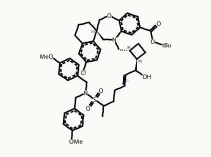 COc1ccc(CN(Cc2ccc(OC)cc2)S(=O)(=O)C(C)CC/C=C/C(O)[C@@H]2CC[C@H]2CN2C[C@@]3(CCCc4cc(Cl)ccc43)COc3ccc(C(=O)OC(C)(C)C)cc32)cc1